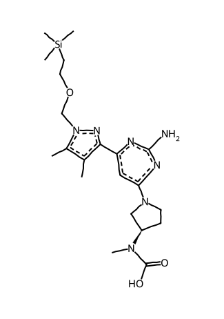 Cc1c(-c2cc(N3CC[C@@H](N(C)C(=O)O)C3)nc(N)n2)nn(COCC[Si](C)(C)C)c1C